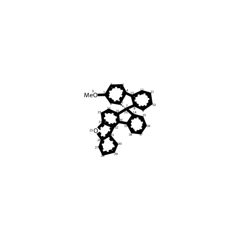 COc1ccc2c(c1)[C@]1(c3ccccc3-2)c2ccccc2-c2c1ccc1oc3ccccc3c21